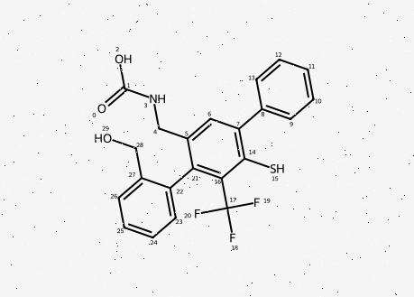 O=C(O)NCc1cc(-c2ccccc2)c(S)c(C(F)(F)F)c1-c1ccccc1CO